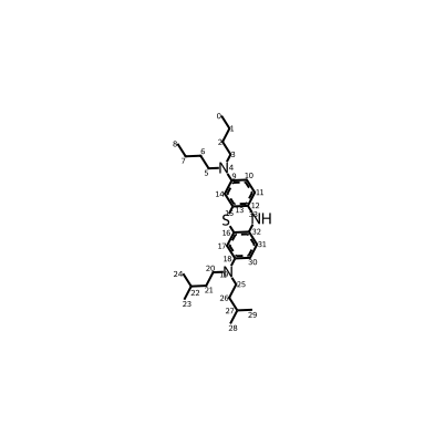 CCCCN(CCCC)c1ccc2c(c1)Sc1cc(N(CCC(C)C)CCC(C)C)ccc1N2